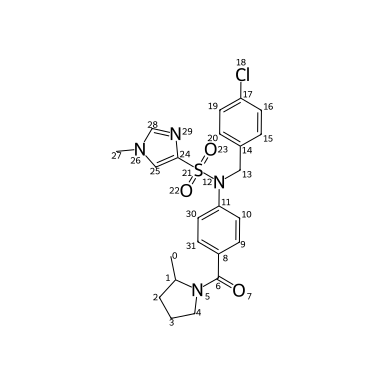 CC1CCCN1C(=O)c1ccc(N(Cc2ccc(Cl)cc2)S(=O)(=O)c2cn(C)cn2)cc1